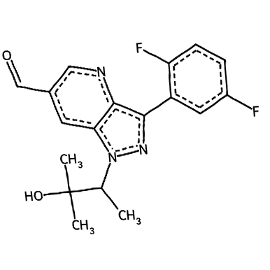 CC(n1nc(-c2cc(F)ccc2F)c2ncc(C=O)cc21)C(C)(C)O